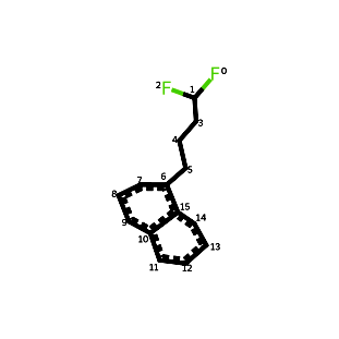 FC(F)CCCc1cccc2ccccc12